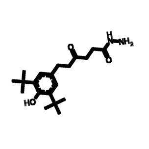 CC(C)(C)c1cc(CCC(=O)CCC(=O)NN)cc(C(C)(C)C)c1O